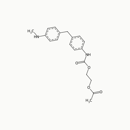 CNc1ccc(Cc2ccc(NC(=O)OCCOC(C)=O)cc2)cc1